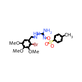 COc1cc(C=NNC(N)=NOS(=O)(=O)c2ccc(C)cc2)c(Br)c(OC)c1OC